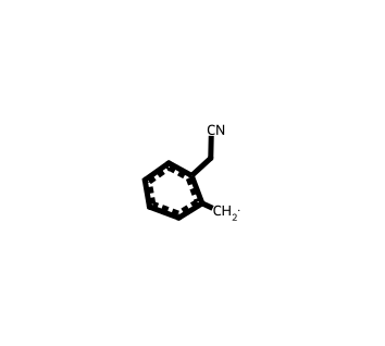 [CH2]c1ccccc1CC#N